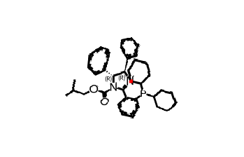 CC(C)COC(=O)N1C(c2ccccc2P(C2CCCCC2)C2CCCCC2)=N[C@H](c2ccccc2)[C@H]1c1ccccc1